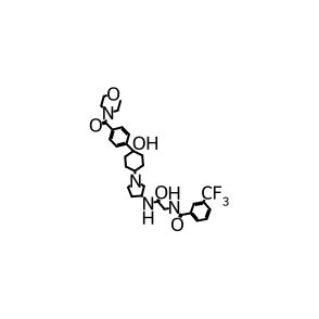 O=C(CNC(=O)c1cccc(C(F)(F)F)c1)N[C@@H]1CCN(C2CCC(O)(c3ccc(C(=O)N4CCOCC4)cc3)CC2)C1